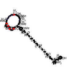 CO[C@H]1C[C@@H]2CC[C@@H](C)[C@@](O)(O2)C(=O)C(=O)N2CCCC[C@H]2C(=O)O[C@H]([C@H](C)C[C@@H]2CC[C@H](n3cc(COC(=O)NCCOCCOCCOCCC(=O)NCCOCCOCCOCCC(=O)NCCCCn4nc(-c5cc6cc(O)ccc6[nH]5)c5c(N)ncnc54)nn3)[C@H](OC)C2)C[C@@H](OC)[C@H](C)/C=C(\C)[C@@H](O)[C@@H](OC)C(=O)[C@H](C)C[C@H](C)/C=C/C=C/C=C/1C